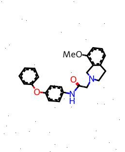 COc1cccc2c1CN(CC(=O)Nc1ccc(Oc3ccccc3)cc1)CC2